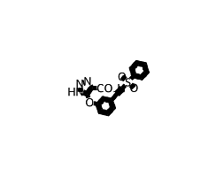 O=C(O)c1nn[nH]c1Oc1cccc(C#CS(=O)(=O)c2ccccc2)c1